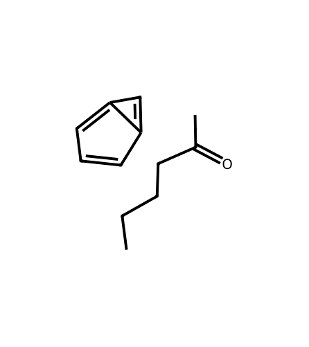 CCCCC(C)=O.c1cc2cc-2c1